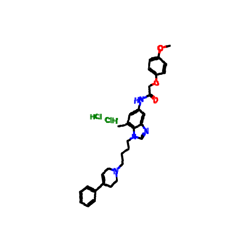 COc1ccc(OCC(=O)Nc2cc(C)c3c(c2)ncn3CCCCN2CC=C(c3ccccc3)CC2)cc1.Cl.Cl